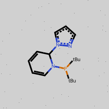 CC(C)(C)P(N1C=CC=CC1n1cccn1)C(C)(C)C